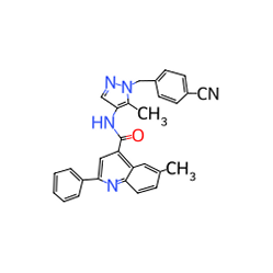 Cc1ccc2nc(-c3ccccc3)cc(C(=O)Nc3cnn(Cc4ccc(C#N)cc4)c3C)c2c1